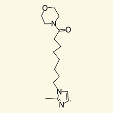 Cc1n[c]cn1CCCCCCCC(=O)N1CCOCC1